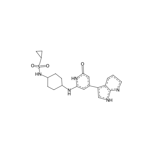 O=c1cc(-c2c[nH]c3ncccc23)cc(NC2CCC(NS(=O)(=O)C3CC3)CC2)[nH]1